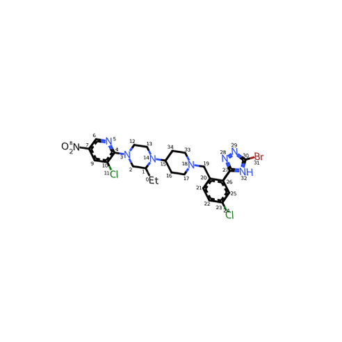 CCC1CN(c2ncc([N+](=O)[O-])cc2Cl)CCN1C1CCN(Cc2ccc(Cl)cc2-c2nnc(Br)[nH]2)CC1